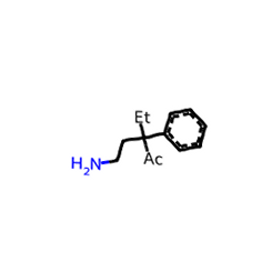 CCC(CCN)(C(C)=O)c1ccccc1